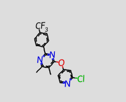 Cc1nc(-c2ccc(C(F)(F)F)cc2)nc(Oc2ccnc(Cl)c2)c1C